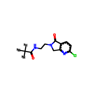 [2H]C([2H])([2H])C(=O)NCCN1Cc2nc(Cl)ccc2C1=O